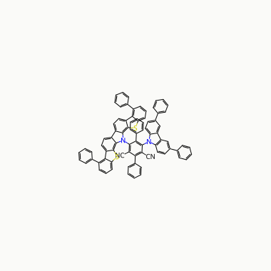 N#Cc1c(-c2ccccc2)c(C#N)c(-n2c3c(ccc4c3sc3cccc(-c5ccccc5)c34)c3ccc4c(sc5cccc(-c6ccccc6)c54)c32)c(-c2ccccc2)c1-n1c2ccc(-c3ccccc3)cc2c2cc(-c3ccccc3)ccc21